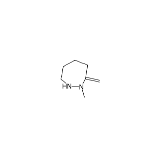 C=C1CCCCNN1C